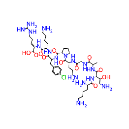 CC(NC(=O)[C@@H](NC(=O)[C@@H](N)CCCCN)[C@@H](O)CN)C(=O)NCC(=O)N[C@H](CCCN)C(=O)N1CCC[C@H]1C(=O)N[C@@H](Cc1ccc(Cl)cc1)C(=O)N[C@@H](CCCCN)C(=O)N/C(=C\CCNC(=N)N)C(=O)O